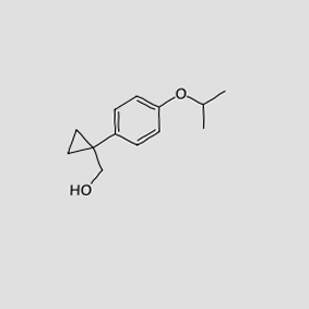 CC(C)Oc1ccc(C2(CO)CC2)cc1